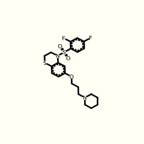 O=S(=O)(c1ccc(F)cc1F)N1CCSc2ccc(OCCCN3CCCCC3)cc21